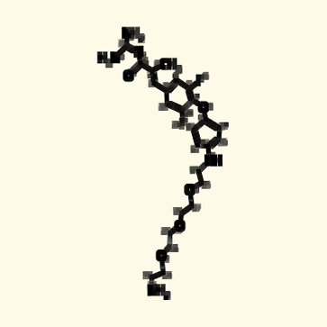 C/C(=C\c1cc(F)c(Oc2ccc(NCCOCCOCCOCCN)cc2)c(F)c1)C(=O)N=C(N)N